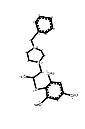 COc1cc(C=O)cc(OC)c1OC(C)CN1CCN(Cc2ccccc2)CC1